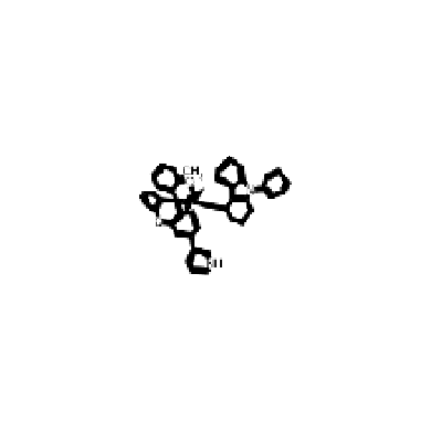 CC12CC=CCC1C1(C3=C(C=CCC3)Oc3cc(C4=CC=CNC4)ccc31)c1ccc(C3CCCc4c3c3ccccc3n4-c3ccccc3)cc1O2